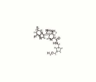 CCC1CCC(CNC(=O)c2cc(N)c(C(=N)c3cnc4c(F)cc(F)cn34)cn2)C1